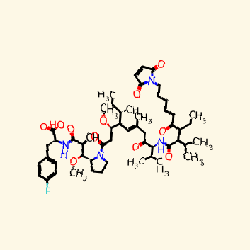 CCC(C(=O)CCCCCN1C(=O)C=CC1=O)C(C(=O)N[C@H](C(=O)C/C(C)=C/C(C(CC(=O)N1CCC[C@H]1C(OC)C(C)C(=O)N[C@@H](Cc1ccc(F)cc1)C(=O)O)OC)[C@@H](C)CC)C(C)C)C(C)C